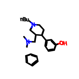 CCCCN1CCC(c2cccc(O)c2)C(CN(C)C)C1.c1ccccc1